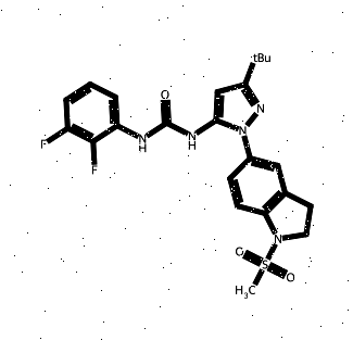 CC(C)(C)c1cc(NC(=O)Nc2cccc(F)c2F)n(-c2ccc3c(c2)CCN3S(C)(=O)=O)n1